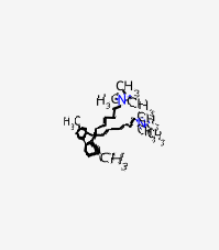 CC[N+](C)(C)CCCCCCC1(CCCCCC[N+](C)(C)CC)c2cc(C)ccc2-c2ccc(C)cc21